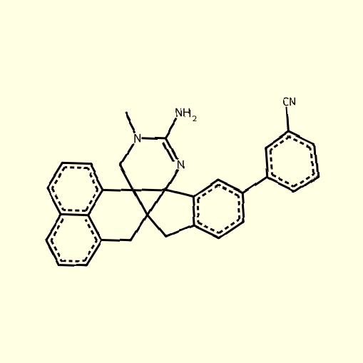 CN1CC23c4cccc5cccc(c45)CC24Cc2ccc(-c5cccc(C#N)c5)cc2C43N=C1N